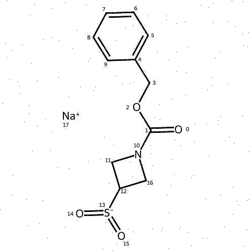 O=C(OCc1ccccc1)N1CC([S-](=O)=O)C1.[Na+]